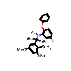 CCCCc1cc(OC)cc(C(CCCC)(CCCC)N(C(C)=O)c2cc(F)ccc2Oc2ccccc2)[c]1[SnH3]